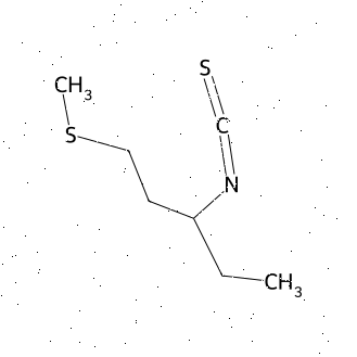 CCC(CCSC)N=C=S